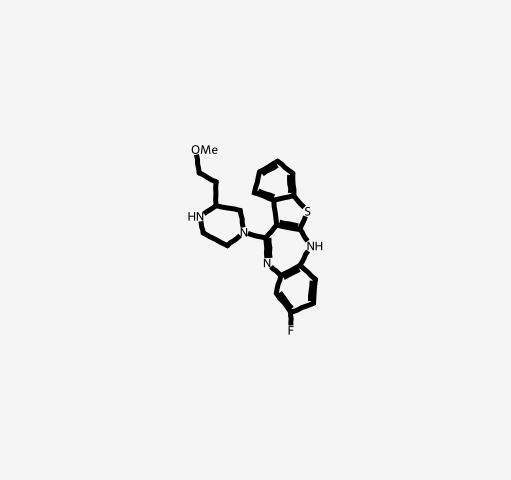 COCCC1CN(C2=Nc3cc(F)ccc3Nc3sc4ccccc4c32)CCN1